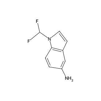 Nc1ccc2c(ccn2C(F)F)c1